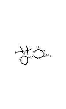 CC(C)(F)C(F)(F)[SiH]1CCCCO1.O1[SiH2]O[SiH2]O[SiH2]1